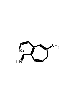 CCC(C)/C=C\C1=C(C=N)C=CCC(C)=C1